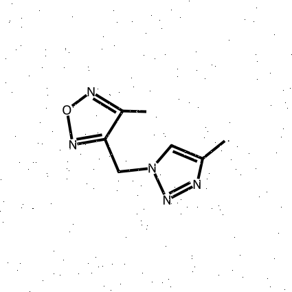 [CH2]c1cn(Cc2nonc2C)nn1